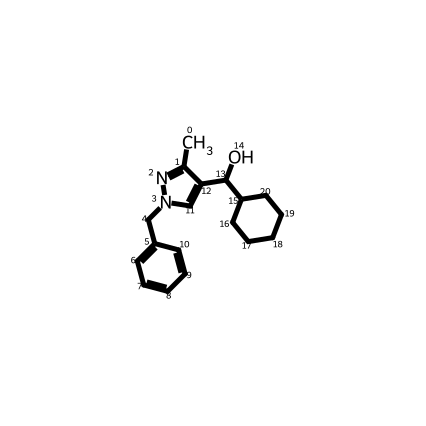 Cc1nn(Cc2ccccc2)cc1C(O)C1CCCCC1